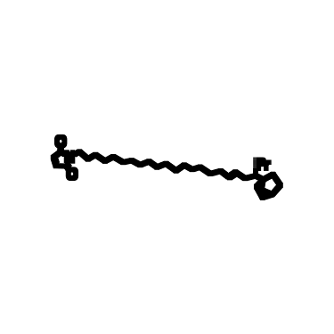 CC(C)C(CC=CCCCCCCCCCCCCCCCCCN1C(=O)C=CC1=O)C12CCC(CC1)C2